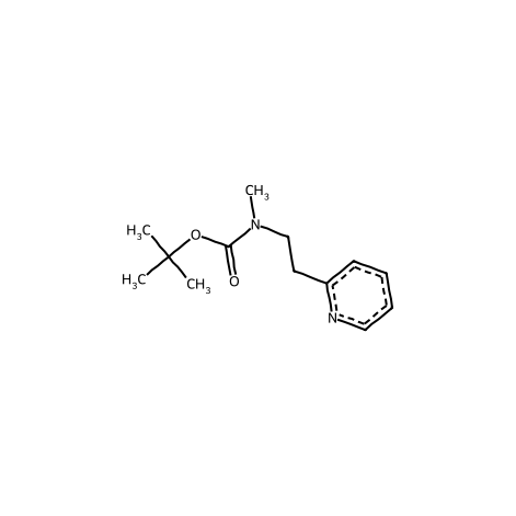 CN(CCc1ccccn1)C(=O)OC(C)(C)C